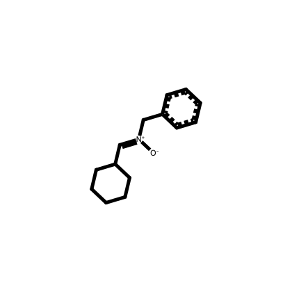 [O-][N+](=CC1CCCCC1)Cc1ccccc1